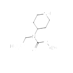 CC(C)(C)OC(=O)N(CC(=O)O)C1CCNCC1